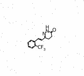 O=C1CCC(C=Cc2ccccc2C(F)(F)F)=NN1